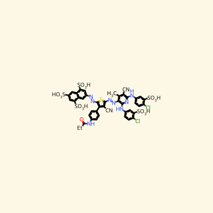 CCC(=O)Nc1ccc(-c2c(N=Nc3cc(S(=O)(=O)O)c4cc(S(=O)(=O)O)cc(S(=O)(=O)O)c4c3)sc(N=Nc3c(Nc4ccc(Cl)c(S(=O)(=O)O)c4)nc(Nc4ccc(Cl)c(S(=O)(=O)O)c4)c(C#N)c3C)c2C#N)cc1